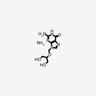 N.Nc1nc2c(ncn2COC(CO)CO)c(=O)[nH]1